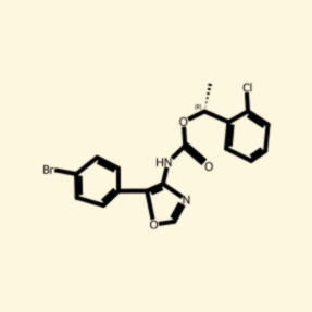 C[C@@H](OC(=O)Nc1ncoc1-c1ccc(Br)cc1)c1ccccc1Cl